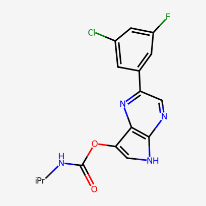 CC(C)NC(=O)Oc1c[nH]c2ncc(-c3cc(F)cc(Cl)c3)nc12